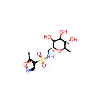 Cc1oncc1S(=O)(=O)NC[C@H]1OC(C)[C@@H](O)C(O)C1O